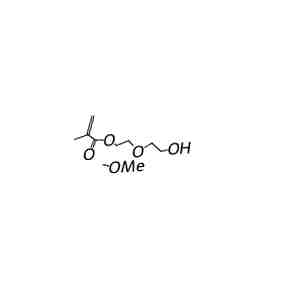 C=C(C)C(=O)OCCOCCO.COC